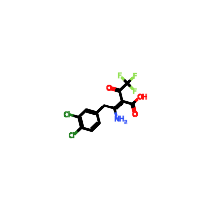 N/C(Cc1ccc(Cl)c(Cl)c1)=C(\C(=O)O)C(=O)C(F)(F)F